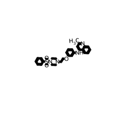 Cc1cc(Nc2cccc(OCCN3CCN(S(=O)(=O)c4ccccc4)CC3)c2)c2ccccc2n1